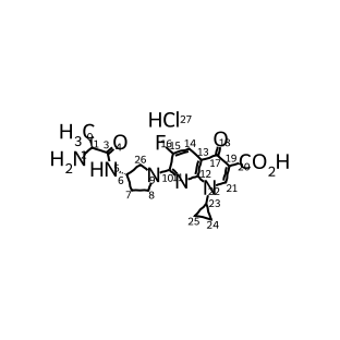 C[C@H](N)C(=O)N[C@H]1CCN(c2nc3c(cc2F)c(=O)c(C(=O)O)cn3C2CC2)C1.Cl